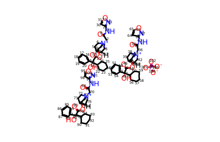 O=C(C[N+]12CCC(CC1)[C@@H](OC(=O)[C@](O)(c1ccccc1)C1CCCCC1)C2)Nc1ccon1.O=C(C[N+]12CCC(CC1)[C@@H](OC(=O)[C@](O)(c1ccccc1)C1CCCCC1)C2)Nc1ccon1.O=C(C[N+]12CCC(CC1)[C@@H](OC(=O)[C@](O)(c1ccccc1)C1CCCCC1)C2)Nc1ccon1.O=P([O-])([O-])[O-]